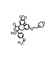 COc1ccc(C2(O)OC(=O)C(c3ccc4c(c3)OCO4)=C2Cc2cccc(OCCN3CCOCC3)c2)cc1